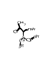 CCCO[SiH](OCCC)C(CCC)C(C)Cl